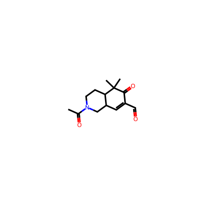 CC(=O)N1CCC2C(C=C(C=O)C(=O)C2(C)C)C1